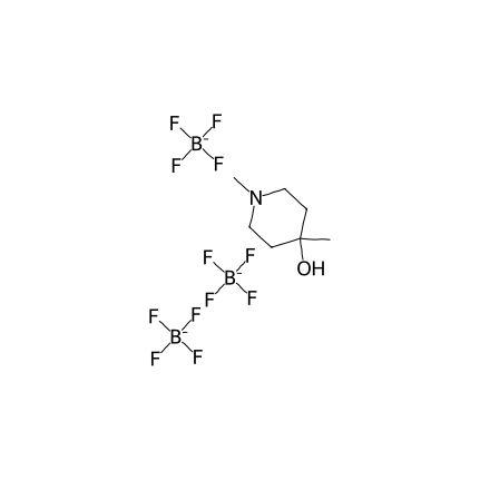 CN1CCC(C)(O)CC1.F[B-](F)(F)F.F[B-](F)(F)F.F[B-](F)(F)F